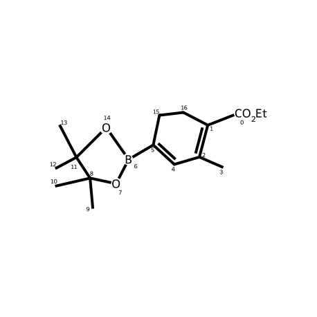 CCOC(=O)C1=C(C)C=C(B2OC(C)(C)C(C)(C)O2)CC1